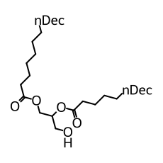 CCCCCCCCCCCCCCCCC(=O)OCC(CO)OC(=O)CCCCCCCCCCCCCC